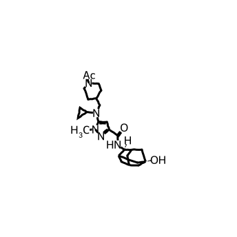 CC(=O)N1CCC(CN(c2cc(C(=O)N[C@H]3C4CC5CC3C[C@](O)(C5)C4)nn2C)C2CC2)CC1